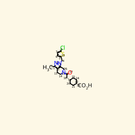 Cc1nn(Cc2ccc(Cl)s2)c2c1CCN(C(=O)C[C@H]1CC[C@@H](C(=O)O)CC1)C2